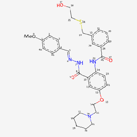 COc1ccc(C=NNC(=O)c2cc(OCCN3CCCCC3)ccc2NC(=O)c2cccc(CSCCO)c2)cc1